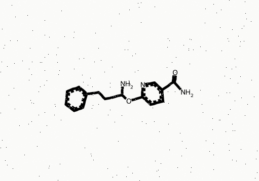 NC(=O)c1ccc(OC(N)CCc2ccccc2)nc1